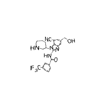 N#Cc1cc(CO)cc2nc(NC(=O)c3cccc(C(F)(F)F)c3)n(C3CCCCNC3)c12